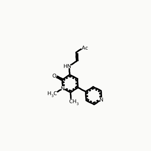 CC(=O)C=CNc1cc(-c2ccncc2)c(C)n(C)c1=O